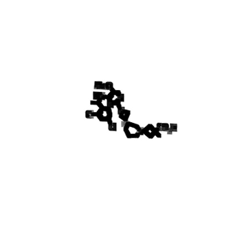 COc1cnc(N2CC([C@H]3CCCN(C4CC(C)(C(=O)O)C4)C3)C2)nc1NC(C)c1ccc(Cl)cc1Cl